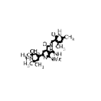 CNc1nc(C2=CC(C)(C)NC(C)(C)C2)cc(C(=O)NCc2c(C)cc(C)[nH]c2=O)c1C=N